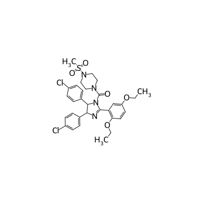 CCOc1ccc(OCC)c(C2=NC(c3ccc(Cl)cc3)C(c3ccc(Cl)cc3)N2C(=O)N2CCN(S(C)(=O)=O)CC2)c1